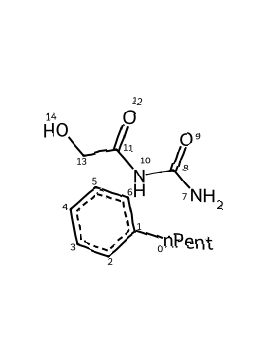 CCCCCc1ccccc1.NC(=O)NC(=O)CO